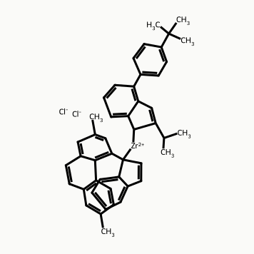 Cc1ccc2c(ccc3cc(C)cc([C]4([Zr+2][CH]5C(C(C)C)=Cc6c(-c7ccc(C(C)(C)C)cc7)cccc65)C=Cc5ccccc54)c32)c1.[Cl-].[Cl-]